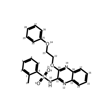 Cc1ccccc1S(=O)(=O)Nc1nc2ccccc2nc1OCCOc1ccccc1